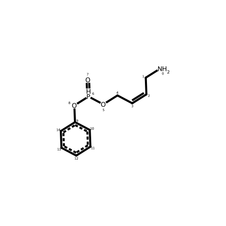 NC/C=C\CO[PH](=O)Oc1ccccc1